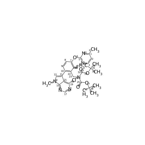 Cc1ccnc(Oc2ccc(-c3cn(C)c4ncnc(Cl)c34)c(CN(C(=O)OC(C)(C)C)C(=O)OC(C)(C)C)c2F)n1